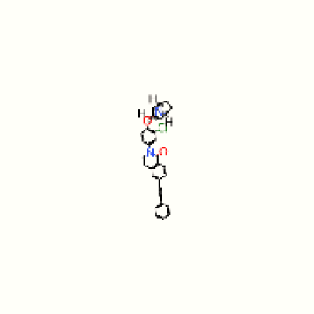 CN1[C@@H]2CC[C@H]1C[C@@H](Oc1ccc(N3CCc4cc(C#Cc5ccccc5)ccc4C3=O)cc1Cl)C2